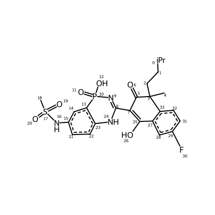 CC(C)CCC1(C)C(=O)C(C2=NP(=O)(O)c3cc(NS(C)(=O)=O)ccc3N2)=C(O)c2cc(F)ccc21